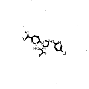 COC(=O)c1ccc(N2C[C@@H](Oc3ccc(Cl)cn3)C[C@H]2C(O)C(F)F)nc1